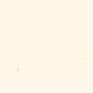 CCC1(C)COC1.CCC1(C)COC1.O